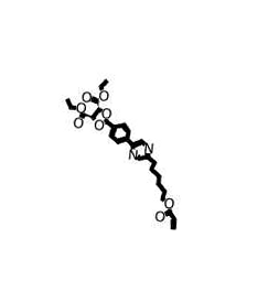 C=CC(=O)OCCCCCCc1cnc(-c2ccc(C3O[C@@H](C(=O)OCC)[C@H](C(=O)OCC)O3)cc2)cn1